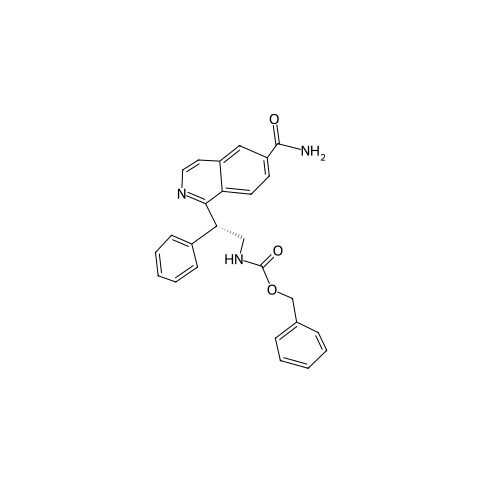 NC(=O)c1ccc2c([C@H](CNC(=O)OCc3ccccc3)c3ccccc3)nccc2c1